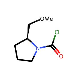 COC[C@@H]1CCCN1C(=O)Cl